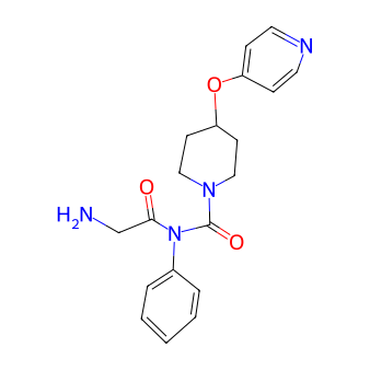 NCC(=O)N(C(=O)N1CCC(Oc2ccncc2)CC1)c1ccccc1